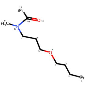 CC(C)CCCOCCCN(C)C(=O)C(C)C